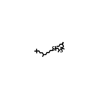 C=C(CCC)CC(C)(C)SC(C)CC(C)(C)SCCCCCC(C)CCCC(C)(C)C